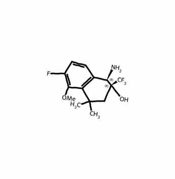 COc1c(F)ccc2c1C(C)(C)C[C@](O)(C(F)(F)F)[C@@H]2N